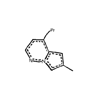 Cc1cc2c(C(C)C)ccnn2c1